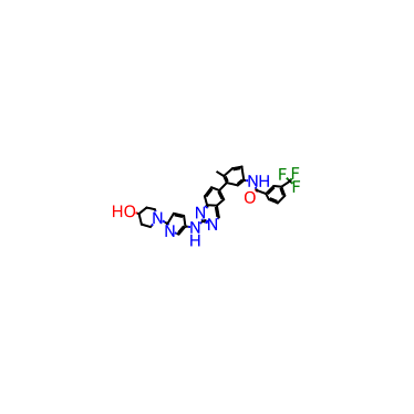 Cc1ccc(NC(=O)c2cccc(C(F)(F)F)c2)cc1-c1ccc2nc(Nc3ccc(N4CCC(O)CC4)nc3)ncc2c1